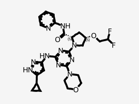 O=C(Nc1ccccn1)[C@@H]1C[C@H](OCC(F)F)CN1c1nc(Nc2cc(C3CC3)[nH]n2)nc(N2CCOCC2)n1